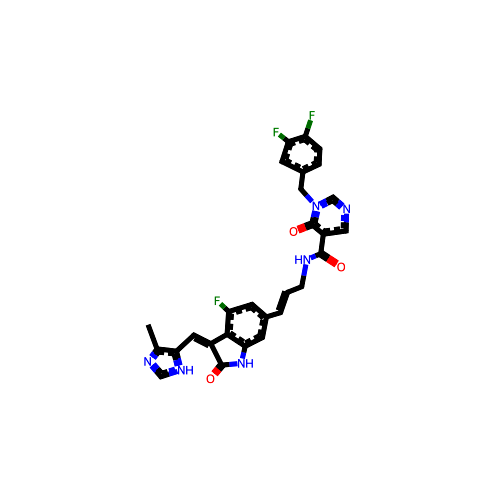 Cc1nc[nH]c1/C=C1\C(=O)Nc2cc(/C=C/CNC(=O)c3cncn(Cc4ccc(F)c(F)c4)c3=O)cc(F)c21